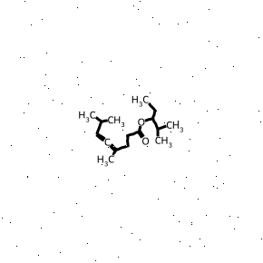 CCC(OC(=O)CCC(C)=C=CC(C)C)C(C)C